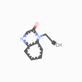 C#CCn1c(=O)cnc2ccccc21